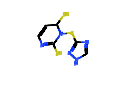 SC1=NC=CC(S)N1Sc1nc[nH]n1